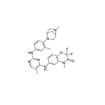 Cc1cc(Nc2ncc(C)c(Nc3ccc4c(c3)N(C)C(=O)C(F)(F)O4)n2)ccc1N1CC2CC1CN2C